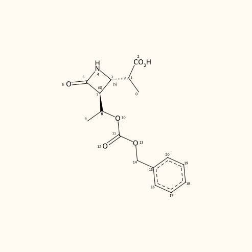 CC(C(=O)O)[C@H]1NC(=O)[C@@H]1C(C)OC(=O)OCc1ccccc1